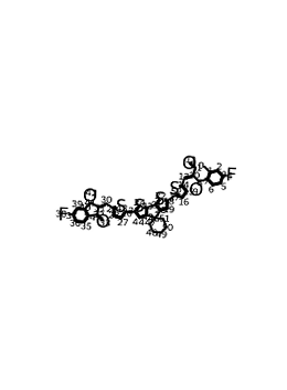 Cc1cc(F)ccc1C(=O)/C(C=O)=C\c1ccc(-c2cc3c(s2)-c2sc(-c4ccc(/C=C5\C(=O)c6ccc(F)cc6C5=O)s4)cc2C32CCCCC2)s1